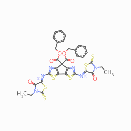 CCN1C(=O)/C(=N/c2nc3c(s2)-c2sc(/N=C4\SC(=S)N(CC)C4=O)nc2C3(C(=O)OCc2ccccc2)C(=O)OCc2ccccc2)SC1=S